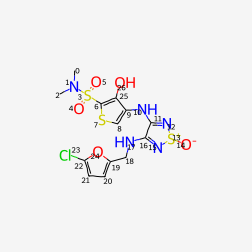 CN(C)S(=O)(=O)c1scc(Nc2n[s+]([O-])nc2NCc2ccc(Cl)o2)c1O